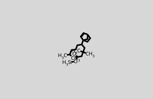 CC(C)CCCC(CC(C)(C)CC(=O)O[SiH3])C12C=CC(CC1)C2